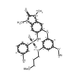 CCCOc1cc(OCCCOC)cc(Oc2cc3c(cc2NS(=O)(=O)c2cccc(CC)c2)n(C)c(=O)n3C)c1